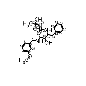 COc1cccc(CNCC(O)C(Cc2ccccc2)NC(=O)OC(C)(C)C)c1